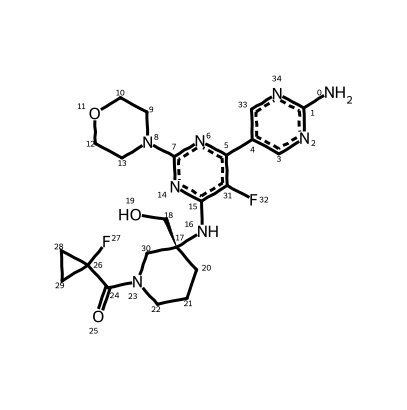 Nc1ncc(-c2nc(N3CCOCC3)nc(N[C@]3(CO)CCCN(C(=O)C4(F)CC4)C3)c2F)cn1